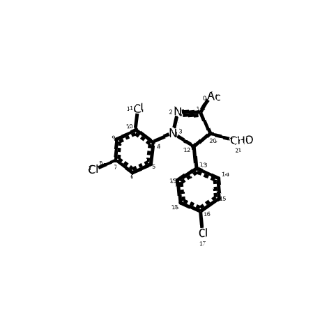 CC(=O)C1=NN(c2ccc(Cl)cc2Cl)C(c2ccc(Cl)cc2)C1C=O